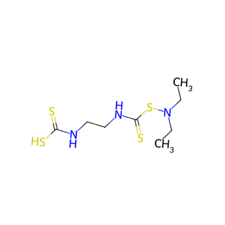 CCN(CC)SC(=S)NCCNC(=S)S